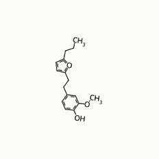 CCCc1ccc(CCc2ccc(O)c(OC)c2)o1